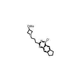 COC1CN(CCCc2nc3cc4c(cc3[n+]([O-])n2)CCC4)C1